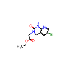 CCOC(=O)CN1Cc2cc(Br)cnc2NC1=O